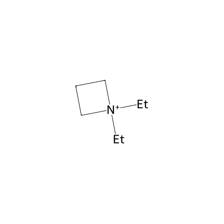 CC[N+]1(CC)CCC1